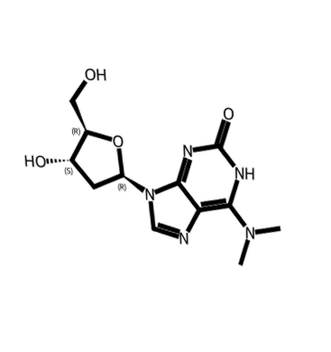 CN(C)c1[nH]c(=O)nc2c1ncn2[C@H]1C[C@H](O)[C@@H](CO)O1